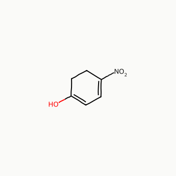 O=[N+]([O-])C1=CC=C(O)CC1